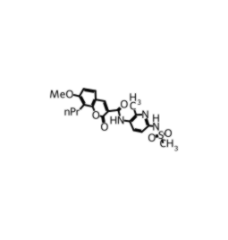 CCCc1c(OC)ccc2cc(C(=O)Nc3ccc(NS(C)(=O)=O)nc3C)c(=O)oc12